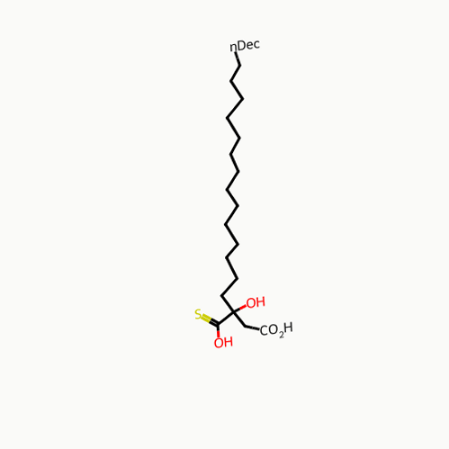 CCCCCCCCCCCCCCCCCCCCCCCCC(O)(CC(=O)O)C(O)=S